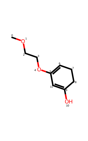 COCCOC1=CC[CH]C(O)=C1